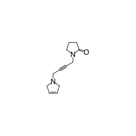 O=C1CCCN1CC#CCN1CC=CC1